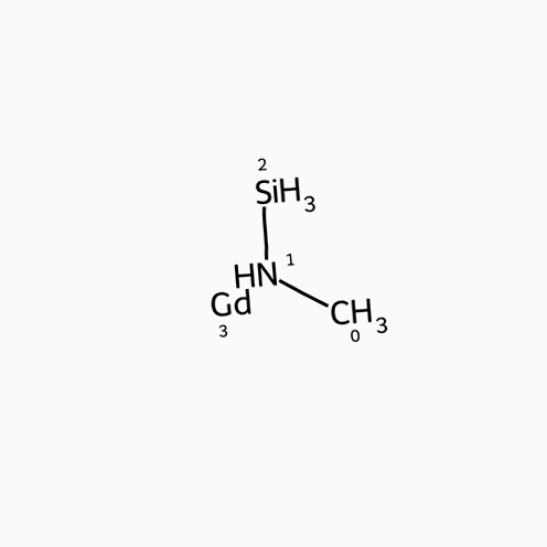 CN[SiH3].[Gd]